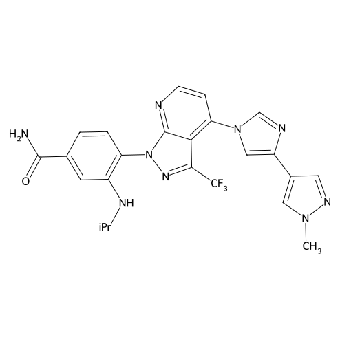 CC(C)Nc1cc(C(N)=O)ccc1-n1nc(C(F)(F)F)c2c(-n3cnc(-c4cnn(C)c4)c3)ccnc21